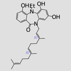 CCN1c2c(O)cccc2C(=O)N(C/C=C(\C)CC/C=C(\C)CCC=C(C)C)c2cc(O)cc(O)c21